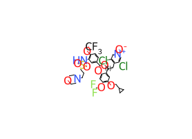 O=C(O[C@@H](Cc1c(Cl)c[n+]([O-])cc1Cl)c1ccc(OC(F)F)c(OCC2CC2)c1)c1ccc(OC(F)(F)F)c(NS(=O)(=O)CCCN2CCOCC2)c1